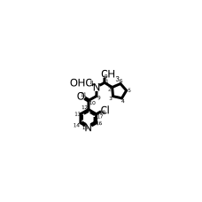 CC(C1CCCC1)N(C=O)CC(=O)c1ccncc1Cl